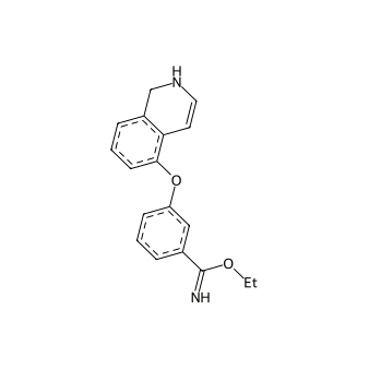 CCOC(=N)c1cccc(Oc2cccc3c2C=CNC3)c1